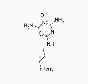 CCCCC/C=C/CNc1nc(N)[n+]([O-])c(N)n1